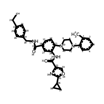 Cc1ccccc1N1CCN(c2ccc(C(=O)NCc3ccc(CI)cc3)cc2NC(=O)c2coc(C3CC3)n2)CC1